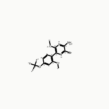 COc1cc(OC(F)(F)F)ccc1-c1nc(Br)c(N)nc1OC